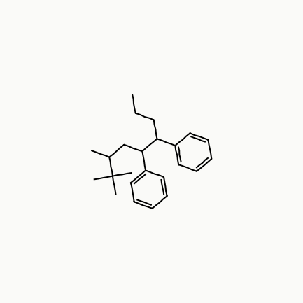 CCCC(c1ccccc1)C(CC(C)C(C)(C)C)c1ccccc1